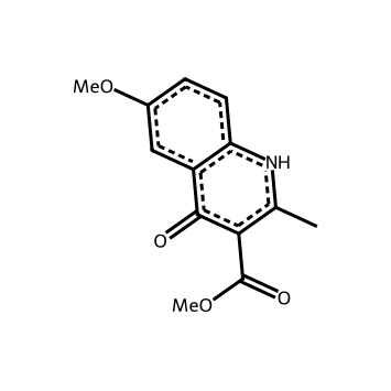 COC(=O)c1c(C)[nH]c2ccc(OC)cc2c1=O